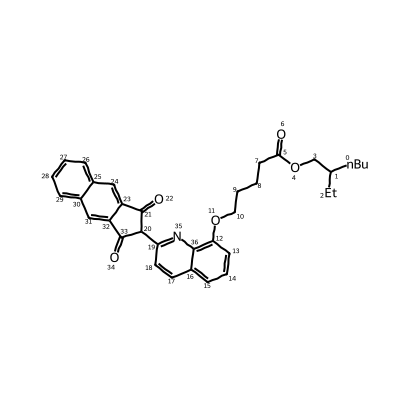 CCCCC(CC)COC(=O)CCCCOc1cccc2ccc(C3C(=O)c4cc5ccccc5cc4C3=O)nc12